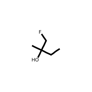 CCC(C)(O)CF